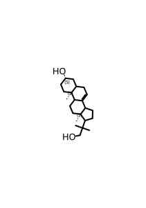 CC(C)(CO)C1CCC2C3=CCC4C[C@@H](O)CC[C@]4(C)C3CC[C@@]21C